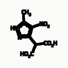 Cc1[nH]nc(C(C(=O)O)C(=O)O)c1[N+](=O)[O-]